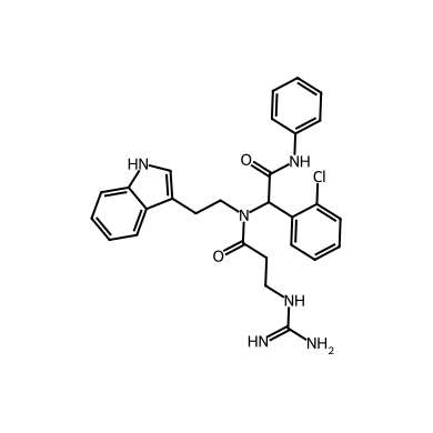 N=C(N)NCCC(=O)N(CCc1c[nH]c2ccccc12)C(C(=O)Nc1ccccc1)c1ccccc1Cl